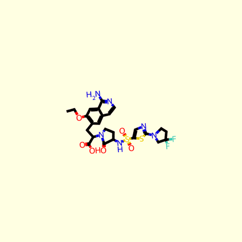 CCOc1cc2c(N)nccc2cc1CC(C(=O)O)N1CCC(NS(=O)(=O)c2cnc(N3CCC(F)(F)C3)s2)C1=O